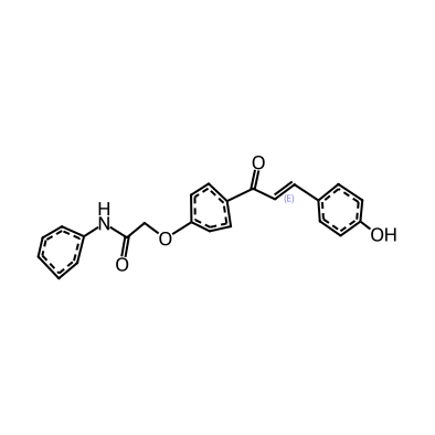 O=C(COc1ccc(C(=O)/C=C/c2ccc(O)cc2)cc1)Nc1ccccc1